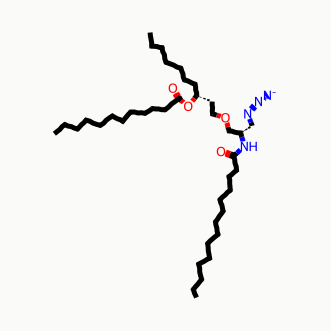 CCCCCCCCCCCCCC(=O)N[C@@H](CN=[N+]=[N-])COCC[C@@H](CCCCCCC)OC(=O)CCCCCCCCCCC